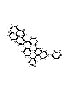 c1ccc(-c2ccc3c(c2)nc(-c2cccc(-c4ccc5ccc6cccc7ccc4c5c67)c2)c2c4ccccc4c4ccccc4c32)cc1